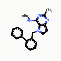 CCCCNc1nc(C)nc2ccn(Cc3ccccc3-c3ccccc3)c12